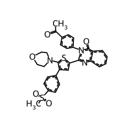 CC(=O)c1ccc(-n2c(-c3cc(-c4ccc(S(C)(=O)=O)cc4)c(N4CCOCC4)s3)nc3ccccc3c2=O)cc1